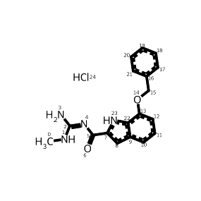 CNC(N)=NC(=O)c1cc2cccc(OCc3ccccc3)c2[nH]1.Cl